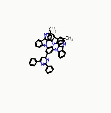 Cc1ccc2c(c1)c1cc(C)ccc1n2-c1c(-n2c3ccccc3c3ncccc32)cc(-c2cc(-c3ccccc3)nc(-c3ccccc3)n2)cc1-n1c2ccccc2c2ncccc21